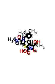 Cc1cccc(CN2C[C@@H](SC3=C(C(=O)O)N4C(=O)[C@H]([C@@H](C)O)[C@H]4[C@H]3C)C[C@H]2C(=O)N(C)C)c1C